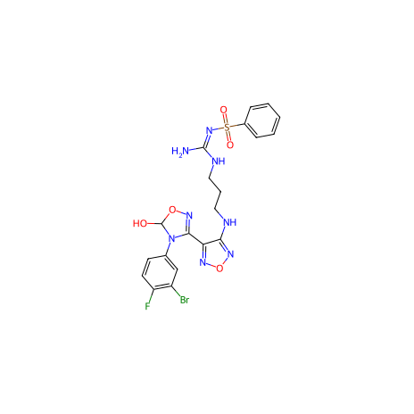 N/C(=N/S(=O)(=O)c1ccccc1)NCCCNc1nonc1C1=NOC(O)N1c1ccc(F)c(Br)c1